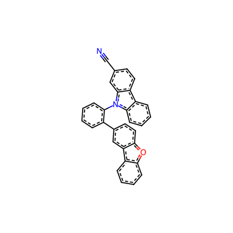 N#Cc1ccc2c3ccccc3n(-c3ccccc3-c3ccc4oc5ccccc5c4c3)c2c1